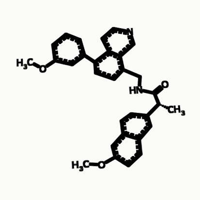 COc1cccc(-c2ccc(CNC(=O)[C@H](C)c3ccc4cc(OC)ccc4c3)c3cnccc23)c1